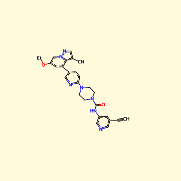 C#Cc1cncc(NC(=O)N2CCN(c3ccc(-c4cc(OCC)cn5ncc(C#N)c45)cn3)CC2)c1